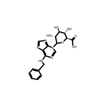 O=C(O)[C@H]1OC(n2cnc(NCc3ccccc3)c3ncnc2-3)[C@H](O)[C@@H](O)[C@@H]1O